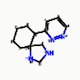 c1cnnc(C2CCCCC23CNCN3)c1